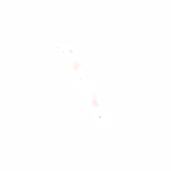 C=CCOCC1CCC(COCC=C)CC1